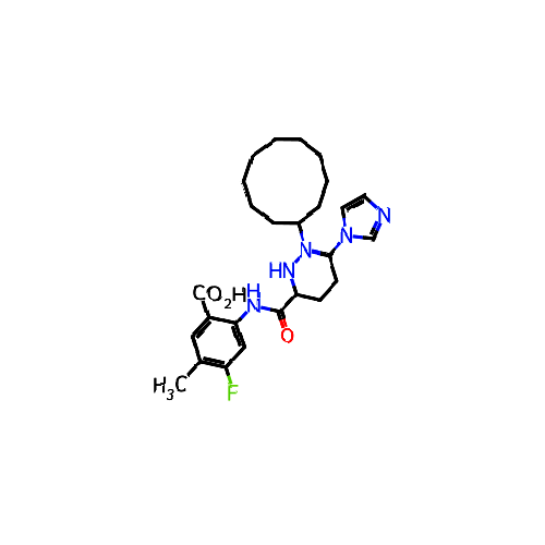 Cc1cc(C(=O)O)c(NC(=O)C2CCC(n3ccnc3)N(C3CCCCCCCCC3)N2)cc1F